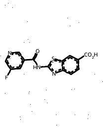 O=C(O)c1ccc2nc(NC(=O)c3cncc(F)c3)sc2c1